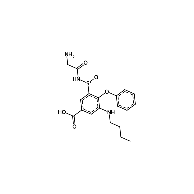 CCCCNc1cc(C(=O)O)cc([S+]([O-])NC(=O)CN)c1Oc1ccccc1